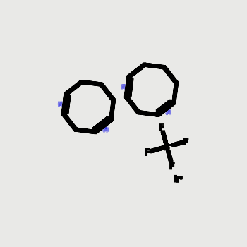 C1=C\CCC/C=C\C/1.C1=C\CCC/C=C\C/1.F[B-](F)(F)F.[Ir+]